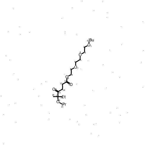 CCC(C)OCCOCCOCCOC(=O)CCC(=O)C(C)(CC)OC(C)C